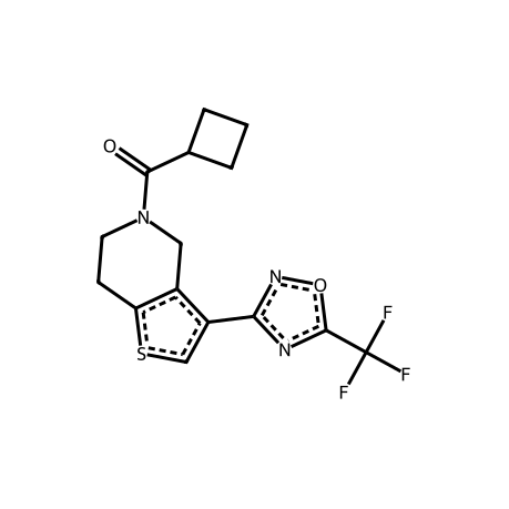 O=C(C1CCC1)N1CCc2scc(-c3noc(C(F)(F)F)n3)c2C1